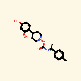 Cc1ccc([C@H](C)NC(=O)ON2CCC(c3ccc(O)cc3O)CC2)cc1